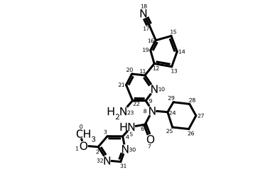 COc1cc(NC(=O)N(c2nc(-c3cccc(C#N)c3)ccc2N)C2CCCCC2)ncn1